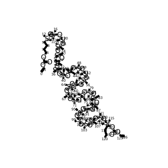 C=COC(=O)OCCCC[Si](C)(C)O[Si](C)(C)O[Si](C)(C)O[Si](C)(C)O[Si](C)(C)O[Si](C)(C)O[Si](C)(C)O[Si](C)(C)O[Si](C)(C)O[Si](C)(C)O[Si](C)(C)O[Si](C)(C)O[Si](C)(C)O[Si](C)(C)O[Si](C)(C)O[Si](C)(C)O[Si](C)(C)O[Si](C)(C)O[Si](C)(C)O[Si](C)(C)O[Si](C)(C)O[Si](C)(C)O[Si](C)(C)O[Si](C)(C)O[Si](C)(C)O[Si](C)(C)O[Si](C)(C)C(CCC)OC(=O)OC=C